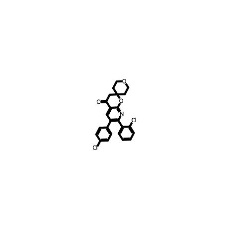 O=C1CC2(CCOCC2)Oc2nc(-c3ccccc3Cl)c(-c3ccc(Cl)cc3)cc21